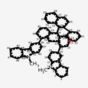 Cn1c2ccccc2c2cc(-c3cccc4c(-c5c(-c6ccccc6)ccc6ccccc56)c5cccc(-c6ccc7c(c6)c6ccccc6n7C)c5cc34)ccc21